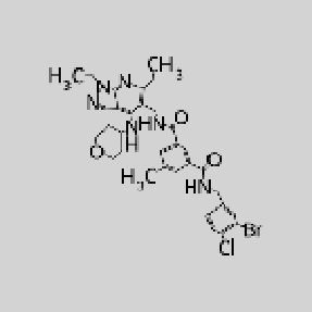 CCc1nc2c(cnn2CC)c(NC2CCOCC2)c1CNC(=O)c1cc(C)cc(C(=O)NCc2ccc(Cl)c(Br)c2)c1